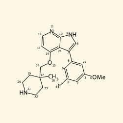 COc1cc(F)cc(-c2c[nH]c3nccc(OCC4(C)CCNCC4)c23)c1